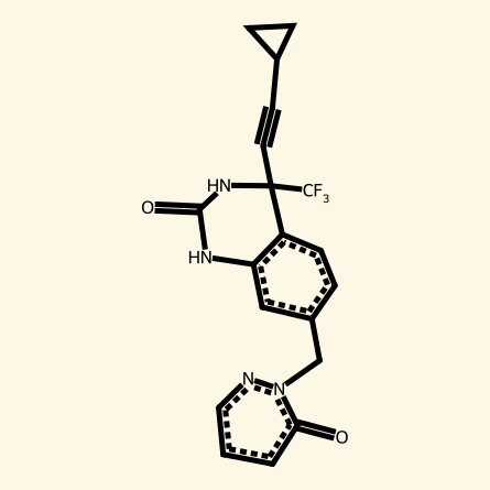 O=C1Nc2cc(Cn3ncccc3=O)ccc2C(C#CC2CC2)(C(F)(F)F)N1